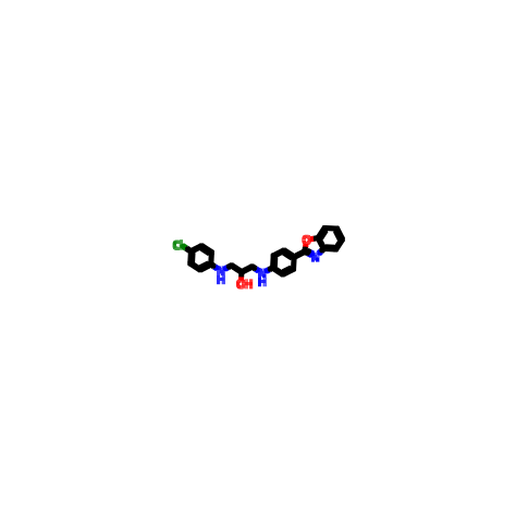 OC(CNc1ccc(Cl)cc1)CNc1ccc(-c2nc3ccccc3o2)cc1